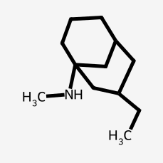 CCC1CC2CCCC(NC)(C1)C2